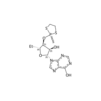 CC[C@H]1O[C@@H](n2cnc3c(O)ncnc32)[C@H](O)[C@@H]1OP1(=S)SCCS1